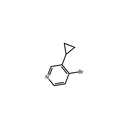 Brc1ccncc1C1CC1